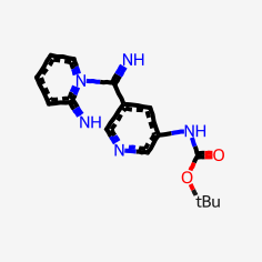 CC(C)(C)OC(=O)Nc1cncc(C(=N)n2ccccc2=N)c1